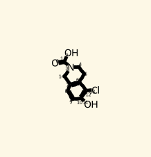 O=C(O)N1CCc2c(ccc(O)c2Cl)C1